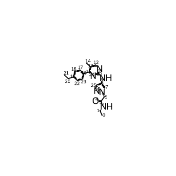 CCNC(=O)Cn1cc(Nc2ncc(C)c(-c3ccc(CC)cc3)n2)cn1